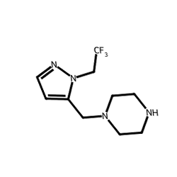 FC(F)(F)Cn1nccc1CN1CCNCC1